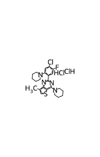 Cc1csc2c(N3CCCCC3)nc(-c3cc(F)c(Cl)cc3N3CCCCC3)nc12.Cl.Cl